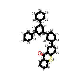 O=c1c2ccccc2sc2ccc(-c3cccc(-c4cc(-c5ccccc5)cc(-c5ccccc5)c4)c3)cc12